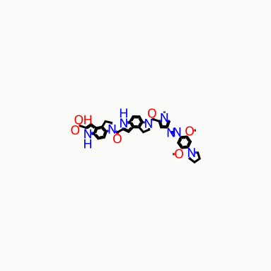 COc1cc(N2CCCC2)c(OC)cc1/N=N/c1cc(C(=O)N2CCc3c2ccc2[nH]c(C(=O)N4CCc5c4ccc4[nH]c(C(=O)O)cc54)cc32)n(C)c1